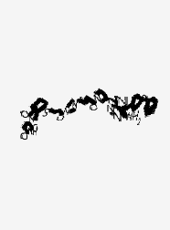 Nc1ncnc2c1c(-c1ccc(Oc3ccccc3)cc1)nn2[C@@H]1CCCN(C(=O)/C=C/CN2CCN(C(=O)CCCSc3cccc4c3CN(C3CCC(=O)NC3=O)C4=O)CC2)C1